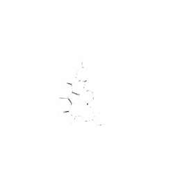 CCC(O)CCN(C)C(=O)c1sc2c(c1C(F)F)c(=O)n(CC(C)C)c(=O)n2CCC(F)(F)F